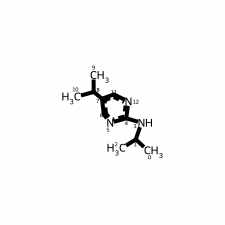 CC(C)Nc1ncc(C(C)C)cn1